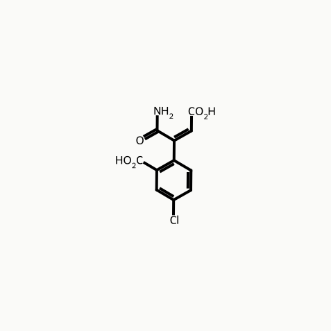 NC(=O)/C(=C\C(=O)O)c1ccc(Cl)cc1C(=O)O